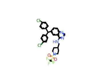 O=S(=O)(N1CCC(CNc2ncnc3ccc(C(c4ccc(Cl)cc4)c4ccc(Cl)cc4)cc23)CC1)C(F)(F)F